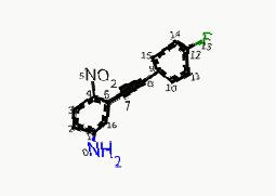 Nc1ccc([N+](=O)[O-])c(C#Cc2ccc(F)cc2)c1